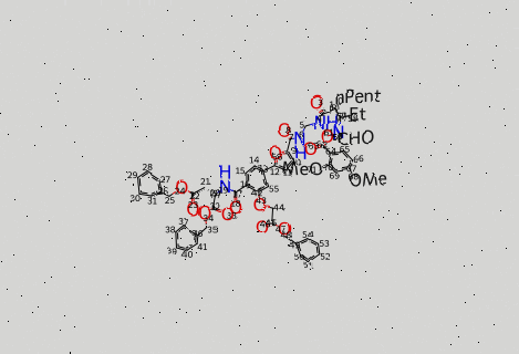 CCCCC[C@@H](C(=O)NCNC(=O)c1ccc(-c2ccc(C(=O)N[C@@H](CC(=O)OCc3ccccc3)C(=O)OCc3ccccc3)c(OCC(=O)OCc3ccccc3)c2)o1)[C@@H](CC)N(C=O)OC(=O)c1ccc(OC)cc1OC